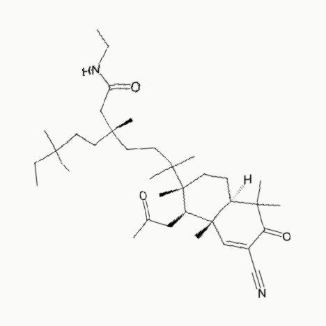 CCNC(=O)C[C@@](C)(CCC(C)(C)CC)CCC(C)(C)[C@]1(C)CC[C@H]2C(C)(C)C(=O)C(C#N)=C[C@]2(C)[C@H]1CC(C)=O